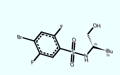 CC[C@H](C)[C@@H](CO)NS(=O)(=O)c1cc(F)c(Br)cc1F